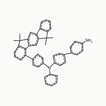 CC1(C)c2ccccc2-c2cc3c(cc21)-c1c(-c2ccc(N(c4ccccc4)c4ccc(-c5ccc([SiH3])cc5)cc4)cc2)cccc1C3(C)C